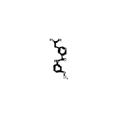 CCC(CC)Cc1cncc(C(=O)Nc2cccc(OC(F)(F)F)c2)c1